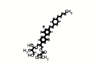 C=C(CO)C(=O)OCC(COC(O)C(=C)CO)c1ccc(-c2ccc(CCC3CCC(CCCCC)CC3)c(F)c2F)c(F)c1